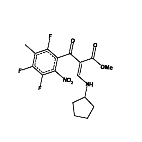 COC(=O)C(=CNC1CCCC1)C(=O)c1c(F)c(C)c(F)c(F)c1[N+](=O)[O-]